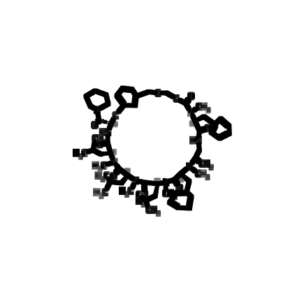 C=C1CNC(=O)[C@H](Cc2ccccc2)N(C)C(=O)CCCCc2cccc(c2)C[C@@H](C(=O)N2CCCCC2)NC(=O)[C@H](CC(C)C)N(C)C(=O)[C@H](CC(C)C)N(C)C(=O)[C@H](CC(C)C)N(C)C(=O)[C@H](Cc2ccccc2)N1C